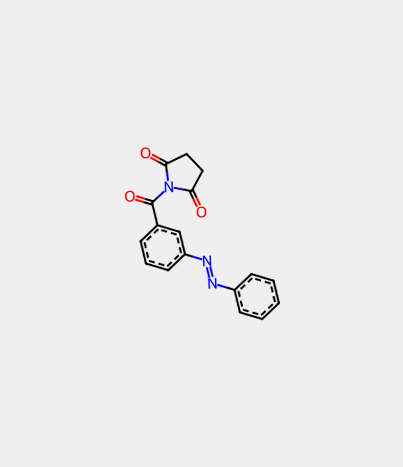 O=C1CCC(=O)N1C(=O)c1cccc(/N=N/c2ccccc2)c1